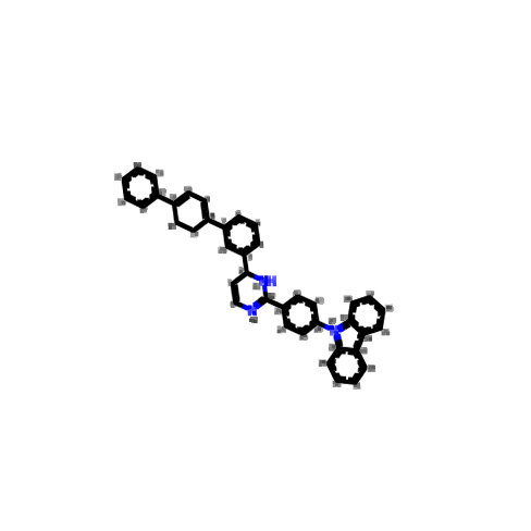 C1=CC(c2cccc(C3=CC=C(c4ccccc4)CC3)c2)NC(c2ccc(-n3c4ccccc4c4ccccc43)cc2)=N1